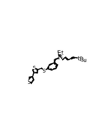 CCN(CC=CC#CC(C)(C)C)Cc1cccc(SCc2cc(-c3ccsc3)cs2)c1